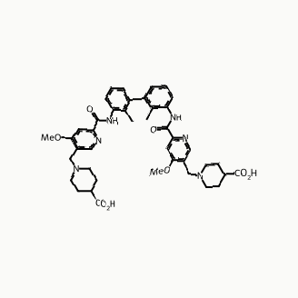 COc1cc(C(=O)Nc2cccc(-c3cccc(NC(=O)c4cc(OC)c(CN5CCC(C(=O)O)CC5)cn4)c3C)c2C)ncc1CN1CCC(C(=O)O)CC1